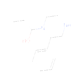 CCC(O)N1CCNCC1c1ccccc1